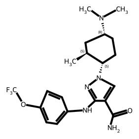 C[C@H]1C[C@H](N(C)C)CC[C@@H]1n1cc(C(N)=O)c(Nc2ccc(OC(F)(F)F)cc2)n1